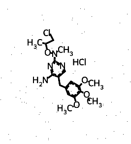 COc1cc(Cc2cnc(N(C)OC(C)CCl)nc2N)cc(OC)c1OC.Cl